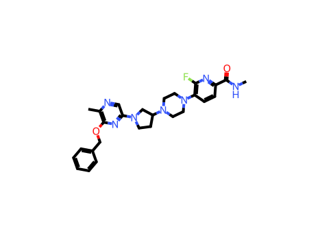 CNC(=O)c1ccc(N2CCN(C3CCN(c4cnc(C)c(OCc5ccccc5)n4)C3)CC2)c(F)n1